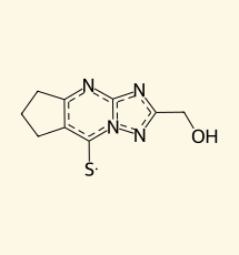 OCc1nc2nc3c(c([S])n2n1)CCC3